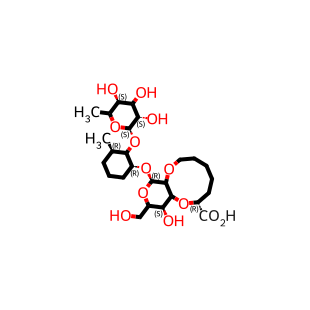 CC1O[C@@H](OC2[C@H](C)CCC[C@H]2O[C@@H]2OC(CO)[C@H](O)C3O[C@@H](C(=O)O)CCCCCOC32)[C@@H](O)C(O)[C@@H]1O